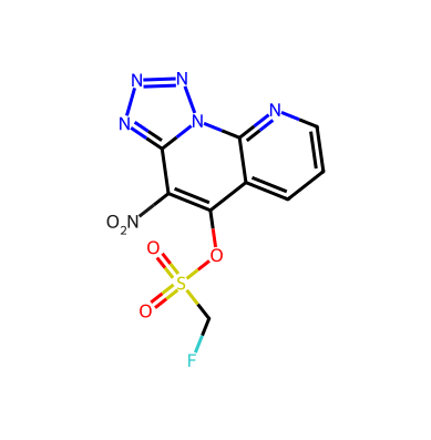 O=[N+]([O-])c1c(OS(=O)(=O)CF)c2cccnc2n2nnnc12